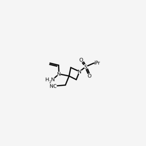 C=CN(N)C1(CC#N)CN(S(=O)(=O)C(C)C)C1